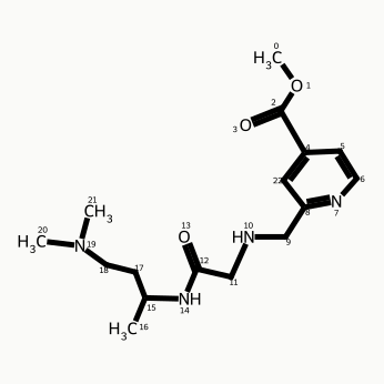 COC(=O)c1ccnc(CNCC(=O)NC(C)CCN(C)C)c1